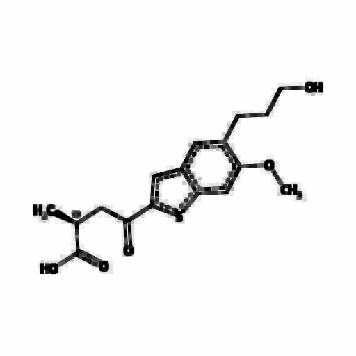 COc1cc2sc(C(=O)C[C@H](C)C(=O)O)cc2cc1CCCO